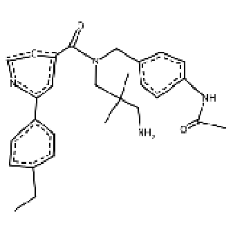 CCc1ccc(-c2cc(C(=O)N(Cc3ccc(NC(C)=O)cc3)CC(C)(C)CN)ccn2)cc1